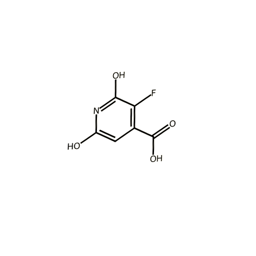 O=C(O)c1cc(O)nc(O)c1F